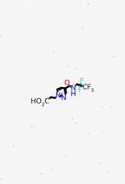 O=C(O)CC[n+]1ccc(C(=O)NCC(F)(F)C(F)(F)F)cn1